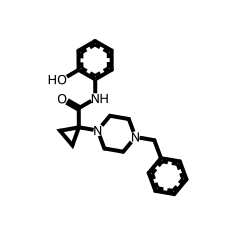 O=C(Nc1ccccc1O)C1(N2CCN(Cc3ccccc3)CC2)CC1